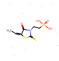 C/C=C1/SC(=S)N(CCP(=O)(O)O)C1=O